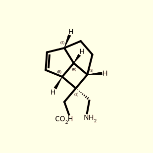 NC[C@]1(CC(=O)O)[C@@H]2C=C[C@@H]3CC[C@H]1[C@@H]32